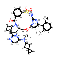 Cc1cccc(C)c1-c1cc2nc(n1)NS(=O)(=O)c1cccc(c1)C(=O)N(C1CCC1c1nccc(N(C)C3CC4(CC4)C3)n1)[C@H](CC(C)C)CO2